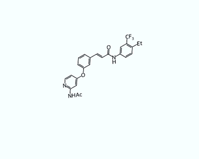 CCc1ccc(NC(=O)/C=C/c2cccc(Oc3ccnc(NC(C)=O)c3)c2)cc1C(F)(F)F